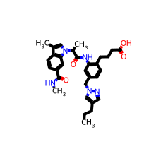 CCCc1cnn(Cc2ccc(CCCC(=O)O)c(NC(=O)C(C)n3cc(C)c4ccc(C(=O)NC)cc43)c2)c1